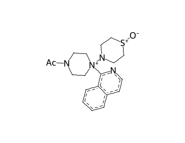 CC(=O)N1CC[N+](c2nccc3ccccc23)(N2CC[S+]([O-])CC2)CC1